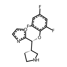 Fc1cc(F)c(O[C@@H](c2ncco2)[C@H]2CCNC2)c(F)c1